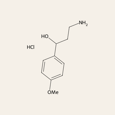 COc1ccc(C(O)CCN)cc1.Cl